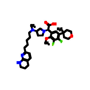 COc1c([C@@H](C(=O)O)N2CC[C@@H](N(C)CCCCCc3ccc4c(n3)NCCC4)C2)cc(C2(C)CCOCC2)c(F)c1F